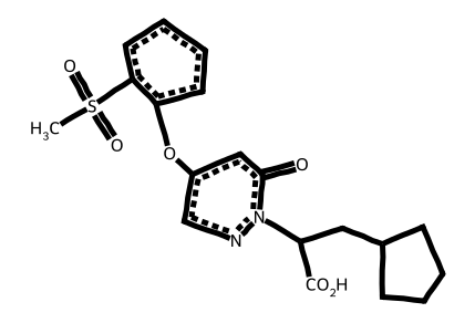 CS(=O)(=O)c1ccccc1Oc1cnn(C(CC2CCCC2)C(=O)O)c(=O)c1